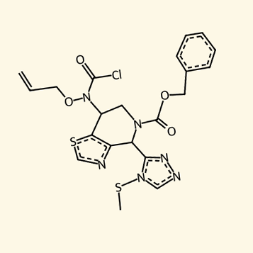 C=CCON(C(=O)Cl)C1CN(C(=O)OCc2ccccc2)C(c2nncn2SC)c2ncsc21